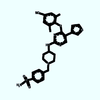 Cc1cc(C#N)cc(C)c1Oc1nc(NC2CCN(Cc3ccc(S(N)(=O)=O)cc3)CC2)ncc1-c1ccsc1